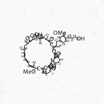 CO[C@H]1C[C@@H]2CC[C@@H](C)C(=O)C(O)(O2)C(=O)N2CCCC[C@H]2C(=O)O[C@H]([C@H](C)C[C@@H]2CC[C@@H](OCCO)[C@H](OC)C2)CC(=O)[C@H](C)/C=C(\C)[C@@H](O)[C@@H](OC)C(=O)[C@H](C)C[C@H](C)/C=C/C=C/C=C/1C